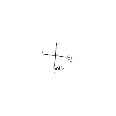 CC[C](C)(C)[SnH]